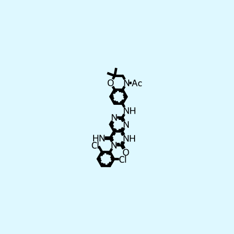 CC(=O)N1CC(C)(C)Oc2ccc(Nc3ncc4c(=N)n(-c5c(Cl)cccc5Cl)c(=O)[nH]c4n3)cc21